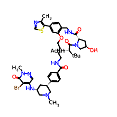 CC(=O)N[C@H](C(=O)N1C[C@H](O)C[C@H]1C(=O)NCc1ccc(-c2scnc2C)cc1OCCCCNC(=O)c1ccc([C@H]2C[C@@H](Nc3cnn(C)c(=O)c3Br)CN(C)C2)cc1)C(C)(C)C